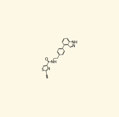 C#Cc1nc(C(=O)NCCc2ccc(-c3cccc4[nH]ncc34)cc2)cs1